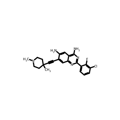 CN1CCC(C)(C#Cc2cc3nc(-c4cccc(Cl)c4F)nc(N)c3cc2N)CC1